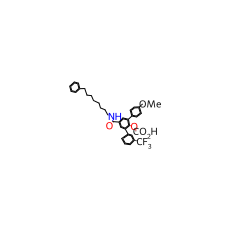 COc1ccc(-c2cc(C(=O)NCCCCCCCCc3ccccc3)cc(-c3cccc(C(F)(F)F)c3)c2OC(=O)O)cc1